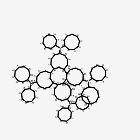 C1CCCCC(N(C2CCCCCCCC2)C2CCCCC3C4CCCC(N(C5CCCCCCCC5)C5CCCCCCC5)CCCC(C4)C4CCCC(N(C5CCCCCCCC5)C5CCCCCCC5)CCCC(C4)C4CCCCC(N(C5CCCCCCC5)C5CCCCCCC5)CCCC4C3CCC2)CCCC1